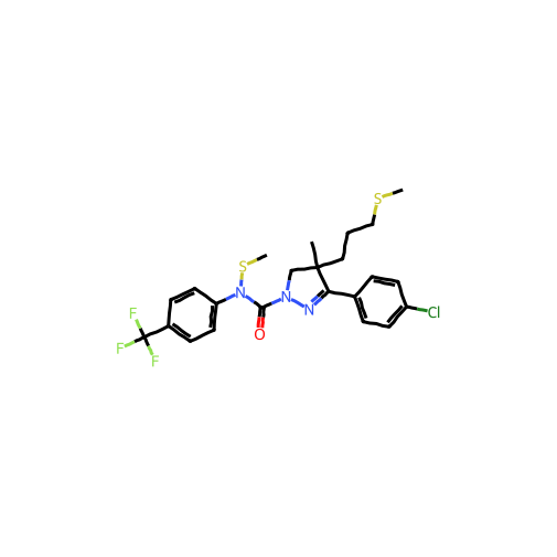 CSCCCC1(C)CN(C(=O)N(SC)c2ccc(C(F)(F)F)cc2)N=C1c1ccc(Cl)cc1